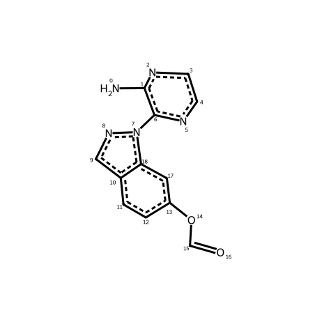 Nc1nccnc1-n1ncc2ccc(OC=O)cc21